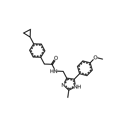 COc1ccc(-c2[nH]c(C)nc2CNC(=O)Cc2ccc(C3CC3)cc2)cc1